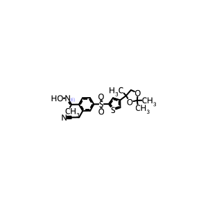 C/C(=N\O)c1ccc(S(=O)(=O)c2cc(C3(C)COC(C)(C)O3)cs2)cc1CC#N